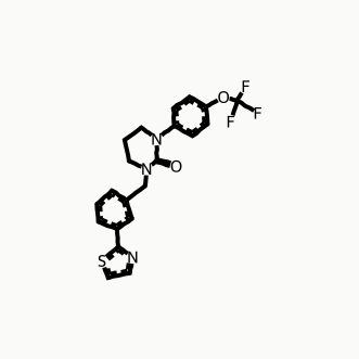 O=C1N(Cc2cccc(-c3nccs3)c2)CCCN1c1ccc(OC(F)(F)F)cc1